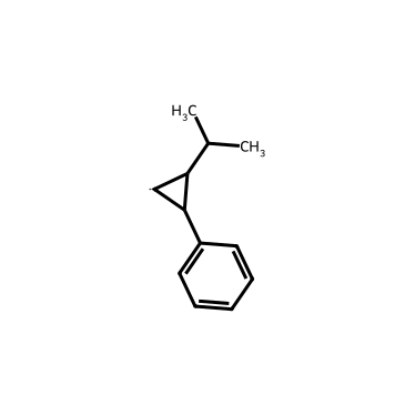 CC(C)C1[CH]C1c1ccccc1